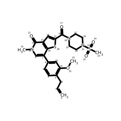 C=CCc1ccc(-c2cn(C)c(=O)c3cc(C(=O)N4CCN(S(C)(=O)=O)CC4)sc23)cc1OC